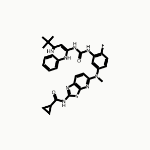 CN(c1ccc(F)c(NC(=O)N/C(=C/C(=N)C(C)(C)C)Nc2ccccc2)c1)c1ccc2nc(NC(=O)C3CC3)sc2n1